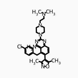 Cc1noc(C)c1-c1ccc2nc(N3CCN(CCN(C)C)CC3)nc(N)c2c1Cc1ccc(Cl)cc1